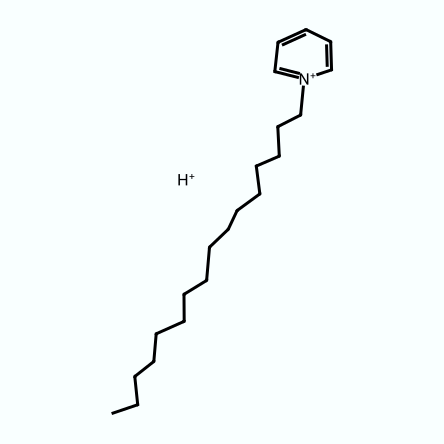 CCCCCCCCCCCCCCCC[n+]1ccccc1.[H+]